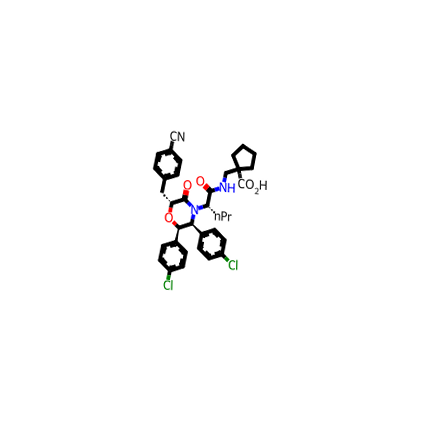 CCC[C@@H](C(=O)NCC1(C(=O)O)CCCC1)N1C(=O)[C@@H](Cc2ccc(C#N)cc2)O[C@H](c2ccc(Cl)cc2)[C@@H]1c1ccc(Cl)cc1